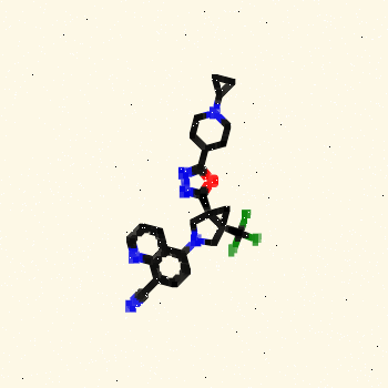 N#Cc1ccc(N2C[C@]3(c4nnc(C5CCN(C6CC6)CC5)o4)C[C@]3(C(F)(F)F)C2)c2cccnc12